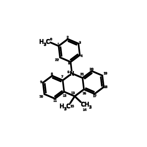 Cc1cccc(N2c3ccccc3C(C)(C)c3ccccc32)c1